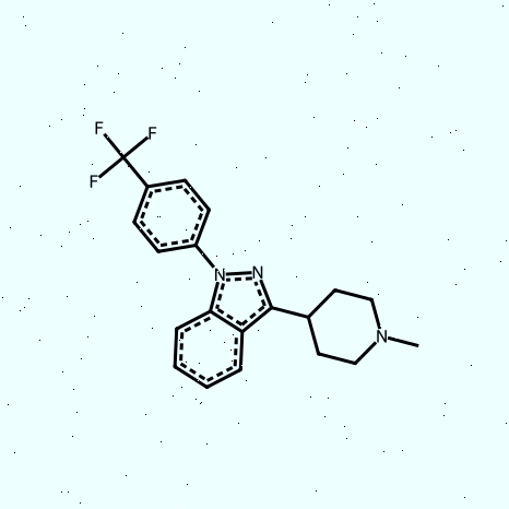 CN1CCC(c2nn(-c3ccc(C(F)(F)F)cc3)c3ccccc23)CC1